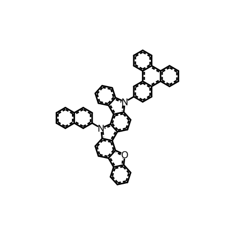 c1ccc2cc(-n3c4ccc5c6ccccc6oc5c4c4ccc5c(c6ccccc6n5-c5ccc6c7ccccc7c7ccccc7c6c5)c43)ccc2c1